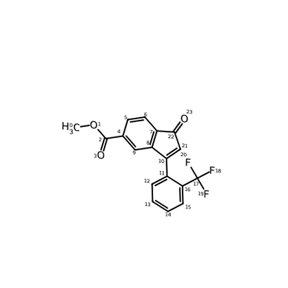 COC(=O)c1ccc2c(c1)C(c1ccccc1C(F)(F)F)=CC2=O